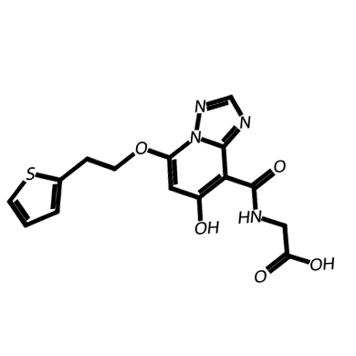 O=C(O)CNC(=O)c1c(O)cc(OCCc2cccs2)n2ncnc12